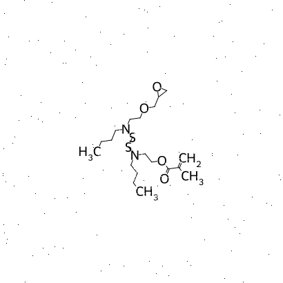 C=C(C)C(=O)OCCN(CCCC)SSN(CCCC)CCOCC1CO1